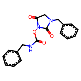 O=C(NCc1ccccc1)ON1C(=O)CN(Cc2ccccc2)C1=O